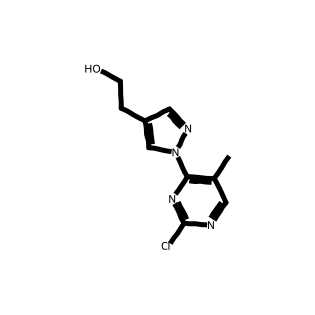 Cc1cnc(Cl)nc1-n1cc(CCO)cn1